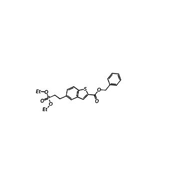 CCOP(=O)(CCc1ccc2sc(C(=O)OCc3ccccc3)cc2c1)OCC